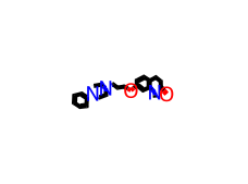 CN1C(=O)CCc2ccc(OCCCN3CCN(c4ccccc4)CC3)cc21